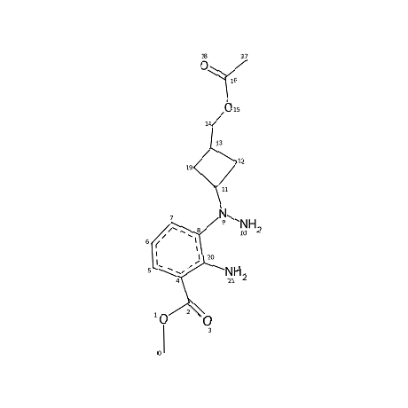 COC(=O)c1cccc(N(N)C2CC(COC(C)=O)C2)c1N